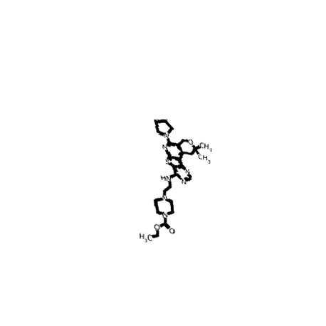 CCOC(=O)N1CCN(CCNc2ncnc3c2sc2nc(N4CCCC4)c4c(c23)CC(C)(C)OC4)CC1